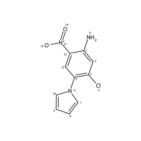 Nc1cc(Cl)c(-n2cccc2)cc1[N+](=O)[O-]